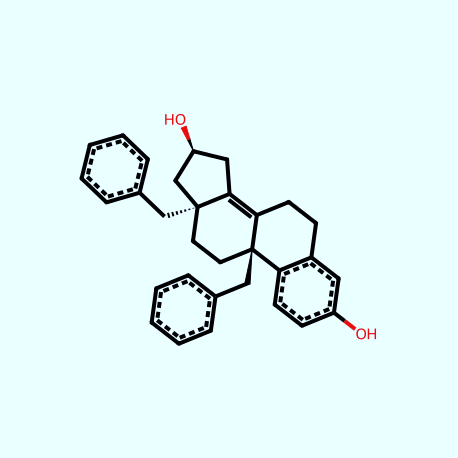 Oc1ccc2c(c1)CCC1=C3C[C@H](O)C[C@]3(Cc3ccccc3)CC[C@]12Cc1ccccc1